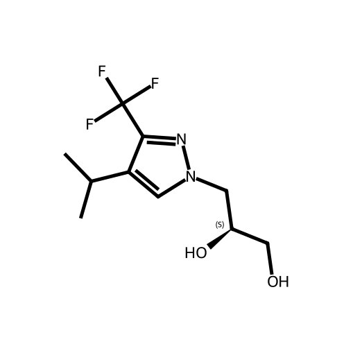 CC(C)c1cn(C[C@H](O)CO)nc1C(F)(F)F